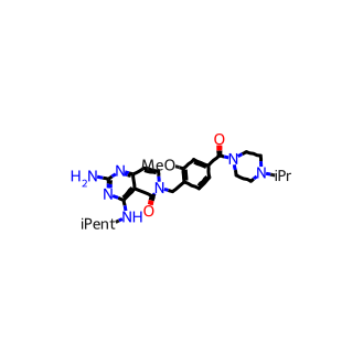 CCCC(C)Nc1nc(N)nc2ccn(Cc3ccc(C(=O)N4CCN(C(C)C)CC4)cc3OC)c(=O)c12